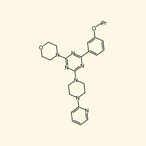 CC(C)Oc1cccc(-c2nc(N3CCOCC3)nc(N3CCN(c4ccccn4)CC3)n2)c1